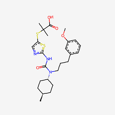 COc1cccc(CCCN(C(=O)Nc2ncc(SC(C)(C)C(=O)O)s2)[C@H]2CC[C@H](C)CC2)c1